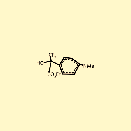 CCOC(=O)[C@](O)(c1ccc(NC)cc1)C(F)(F)F